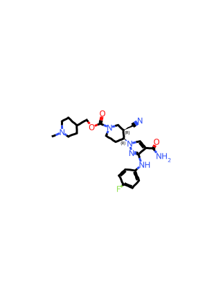 CN1CCC(COC(=O)N2CC[C@@H](n3cc(C(N)=O)c(Nc4ccc(F)cc4)n3)[C@H](C#N)C2)CC1